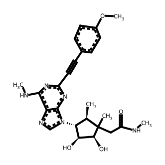 CNC(=O)CC1(C)[C@H](C)[C@@H](n2cnc3c(NC)nc(C#Cc4ccc(OC)cc4)nc32)[C@H](O)[C@@H]1O